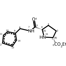 CCOC(=O)[C@H]1CC[C@@H](C(=O)NCc2ccccc2)N1